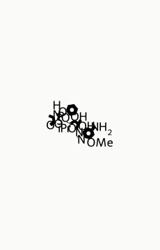 COc1cc(N)cc2c1ncn2[C@@H]1O[C@H](COP(=S)(NC(C)C(=O)OC(C)C)Oc2ccccc2)C(O)C1(C)O